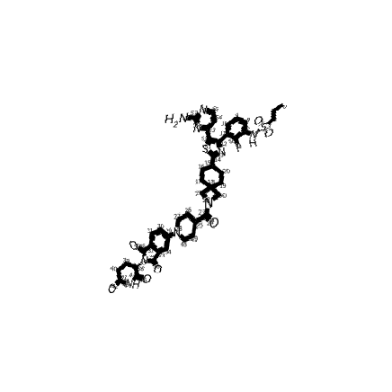 CCCS(=O)(=O)Nc1cccc(-c2nc(C3CCC4(CC3)CN(C(=O)C3CCN(c5ccc6c(c5)C(=O)N([C@@H]5CCC(=O)NC5=O)C6=O)CC3)C4)sc2-c2ccnc(N)n2)c1F